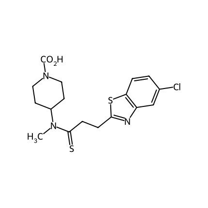 CN(C(=S)CCc1nc2cc(Cl)ccc2s1)C1CCN(C(=O)O)CC1